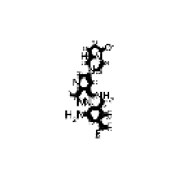 Cc1nnc(N[C@H](C)c2cc(N)cc(C(F)F)c2F)c2cc(N3CCN4C(=O)CC[C@@H]4C3)cnc12